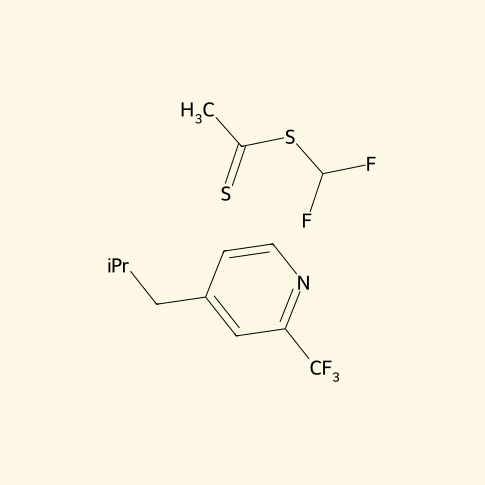 CC(=S)SC(F)F.CC(C)Cc1ccnc(C(F)(F)F)c1